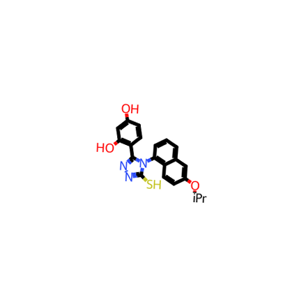 CC(C)Oc1ccc2c(-n3c(S)nnc3-c3ccc(O)cc3O)cccc2c1